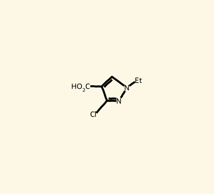 CCn1cc(C(=O)O)c(Cl)n1